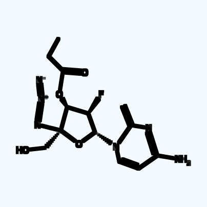 C=C1N=C(N)C=CN1[C@@H]1O[C@@](CO)(N=[N+]=[N-])[C@@H](OC(=O)CC)[C@H]1F